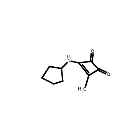 Cc1c(NC2CCCC2)c(=O)c1=O